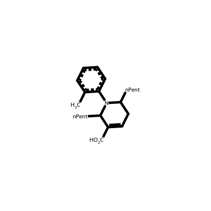 CCCCCC1CC=C(C(=O)O)C(CCCCC)N1c1ccccc1C